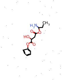 CCC(N)OC(=O)CC(O)C(=O)Oc1ccccc1